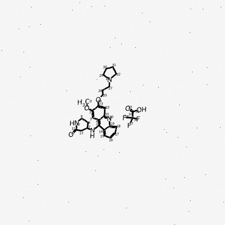 COc1cc2c(NC3CCNC(=O)C3)c3ccccc3nc2cc1OCCCN1CCCC1.O=C(O)C(F)(F)F